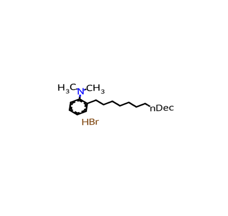 Br.CCCCCCCCCCCCCCCCCc1ccccc1N(C)C